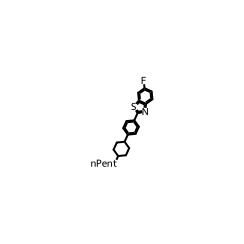 CCCCCC1CCC(c2ccc(-c3nc4ccc(F)cc4s3)cc2)CC1